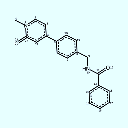 Cn1ccc(-c2ccc(CNC(=O)c3ccccc3)cc2)cc1=O